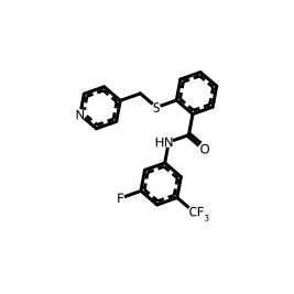 O=C(Nc1cc(F)cc(C(F)(F)F)c1)c1ccccc1SCc1ccncc1